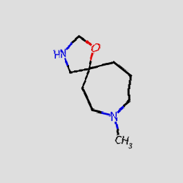 CN1CCCC2(CC1)CNCO2